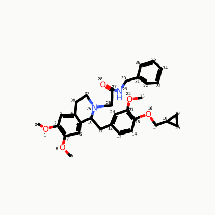 COc1cc2c(cc1OC)C(Cc1ccc(OCC3CC3)c(OC)c1)N(CC(=O)NCc1ccccc1)CC2